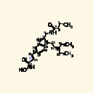 CCCC(=O)NCc1nc2cc(/C=C/C(=O)NO)ccc2n1CCN(CC)CC